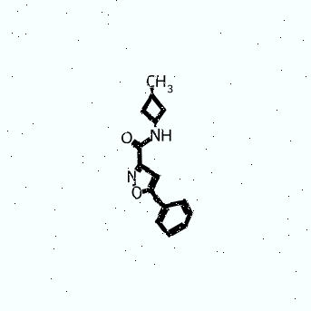 C[C@H]1C[C@H](NC(=O)c2cc(-c3ccccc3)on2)C1